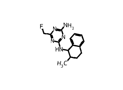 CC1CCc2ccccc2C1Nc1nc(N)nc(CF)n1